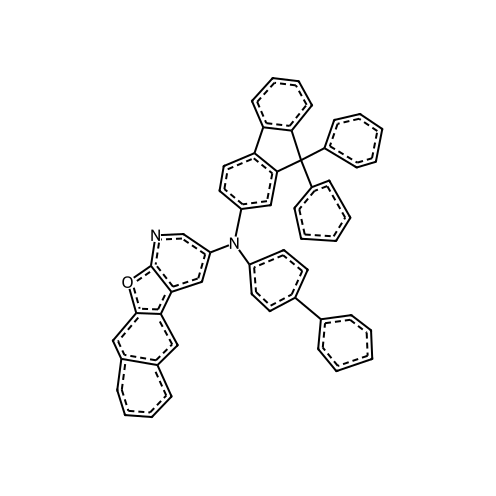 c1ccc(-c2ccc(N(c3ccc4c(c3)C(c3ccccc3)(c3ccccc3)c3ccccc3-4)c3cnc4oc5cc6ccccc6cc5c4c3)cc2)cc1